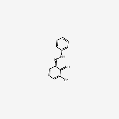 N=C1C(Br)=CC=C/C1=N/Nc1ccccc1